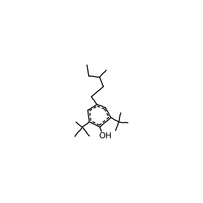 CCC(C)CCc1cc(C(C)(C)C)c(O)c(C(C)(C)C)c1